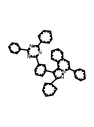 c1ccc(-c2nc(-c3ccccc3)nc(-c3cccc(-c4c(-c5ccccc5)nn5c(-c6ccccc6)cc6ccccc6c45)c3)n2)cc1